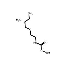 C[C@H](CN)COCCNC(=O)OC(C)(C)C